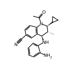 CC(=O)N1c2ccc(C#N)cc2[C@H](Nc2ccccc2N)[C@@H](C)[C@@H]1C1CC1